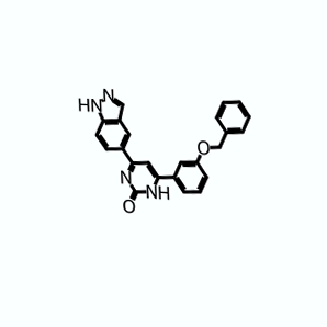 O=c1nc(-c2ccc3[nH]ncc3c2)cc(-c2cccc(OCc3ccccc3)c2)[nH]1